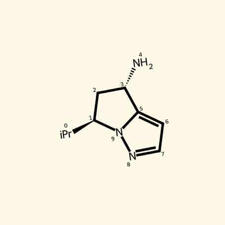 CC(C)[C@H]1C[C@H](N)c2ccnn21